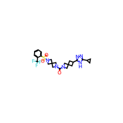 O=C(N1CC2(CC(c3nnc(C4CC4)[nH]3)C2)C1)N1CC2(C1)CN(S(=O)(=O)c1ccccc1C(F)(F)F)C2